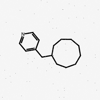 c1cc(C[C]2CCCCCCCC2)ccn1